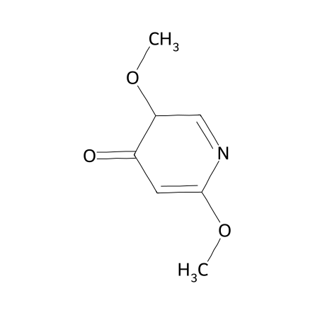 COC1=CC(=O)C(OC)C=N1